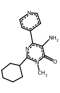 Cn1c(C2CCCCC2)nc(-c2ccncc2)c(N)c1=O